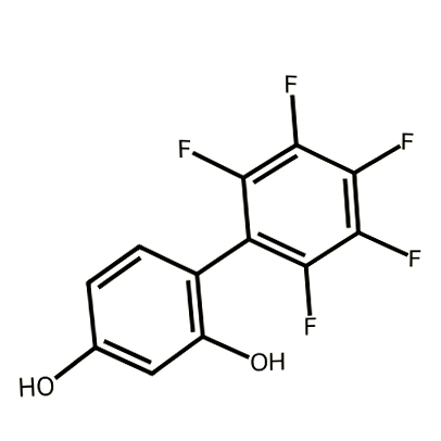 Oc1ccc(-c2c(F)c(F)c(F)c(F)c2F)c(O)c1